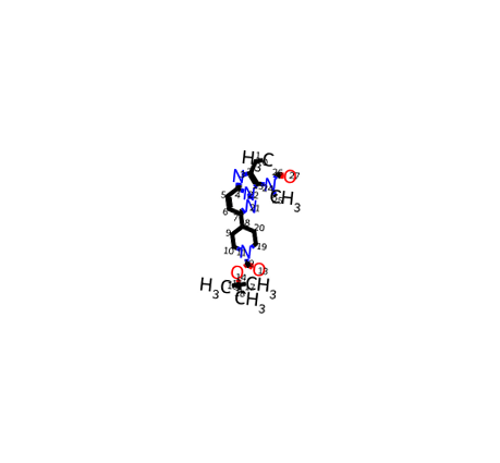 CCc1nc2ccc(C3CCN(C(=O)OC(C)(C)C)CC3)nn2c1N(C)C=O